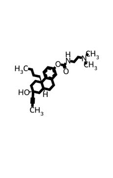 CC#C[C@@]1(O)CC[C@]2(CCCC)c3ccc(OC(=O)NCCN(C)C)cc3CC[C@H]2C1